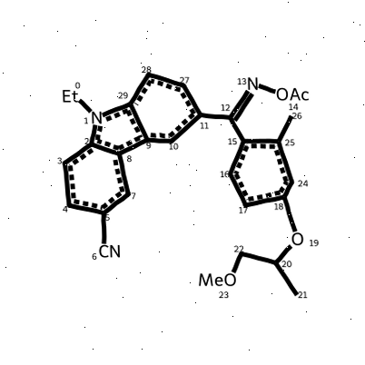 CCn1c2ccc(C#N)cc2c2cc(/C(=N/OC(C)=O)c3ccc(OC(C)COC)cc3C)ccc21